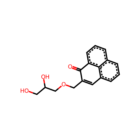 O=C1C(COCC(O)CO)=Cc2cccc3cccc1c23